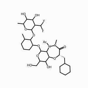 CC(=O)N1C2C(OC3CCCC(C)C3OC3OC(C)C(O)C(O)C3C(F)F)OC(CO)C(O)C2O[C@@H](CC2CCCCC2)C(=O)N1C